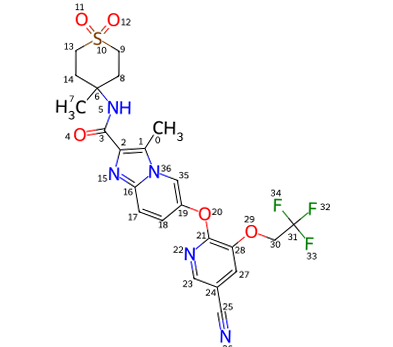 Cc1c(C(=O)NC2(C)CCS(=O)(=O)CC2)nc2ccc(Oc3ncc(C#N)cc3OCC(F)(F)F)cn12